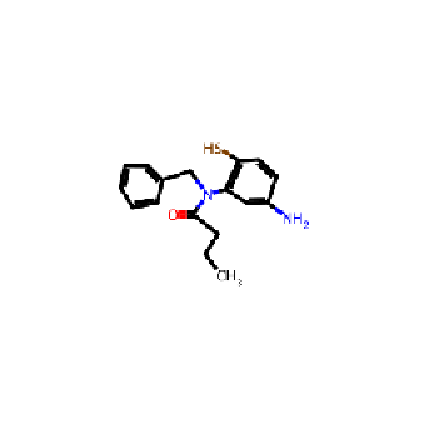 CCCC(=O)N(Cc1ccccc1)c1cc(N)ccc1S